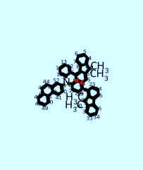 CC1(C)c2ccccc2-c2c(-c3ccccc3N(c3ccc(-c4cccc5c4C(C)(C)c4ccccc4-5)cc3)c3ccc4c(ccc5ccccc54)c3)cccc21